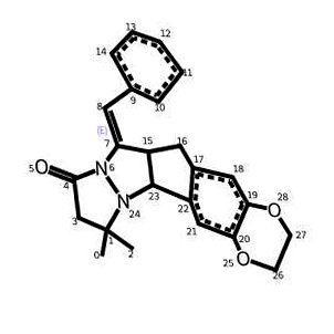 CC1(C)CC(=O)N2/C(=C/c3ccccc3)C3Cc4cc5c(cc4C3N21)OCCO5